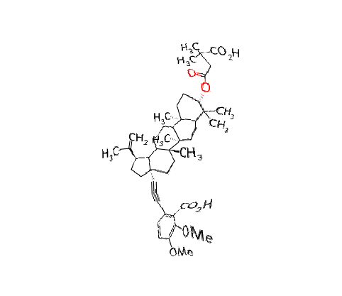 C=C(C)[C@@H]1CC[C@]2(C#Cc3ccc(OC)c(OC)c3C(=O)O)CC[C@]3(C)C(CCC4[C@@]5(C)CC[C@H](OC(=O)CC(C)(C)C(=O)O)C(C)(C)C5CC[C@]43C)C12